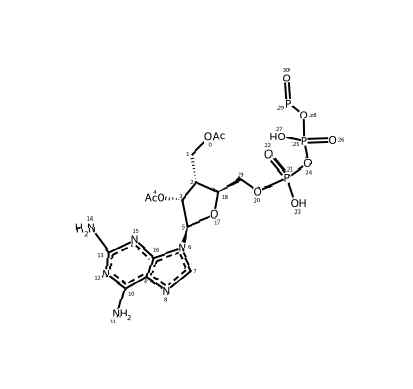 CC(=O)OC[C@H]1[C@@H](OC(C)=O)[C@H](n2cnc3c(N)nc(N)nc32)O[C@@H]1COP(=O)(O)OP(=O)(O)OP=O